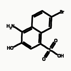 Nc1c(O)cc(S(=O)(=O)O)c2cc(Br)ccc12